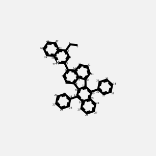 CCc1cc(-c2ccc3c4c(cccc24)-c2c-3c(-c3ccccc3)c3ccccc3c2-c2ccccc2)nc2ccccc12